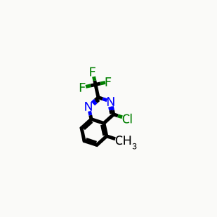 Cc1cccc2nc(C(F)(F)F)nc(Cl)c12